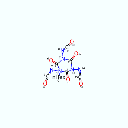 CCCCCC[N+]1(N=C=O)C(=O)N(N=C=O)C(=O)N(N=C=O)C1=O